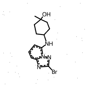 CC1(O)CCC(Nc2cccc3nc(Br)nn23)CC1